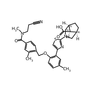 Cc1ccc(OCc2ccc(C(=O)N(C)CCC#N)cc2C)c(-c2csc(N3C[C@H]4CC[C@@H](C3)[C@H]4C(=O)O)n2)c1